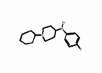 CC(=O)N(c1ccc(F)cc1)C1CCN(C2CCCCC2)CC1